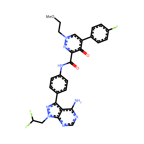 COCCn1cc(-c2ccc(F)cc2)c(=O)c(C(=O)Nc2ccc(-c3nn(CC(F)F)c4ncnc(N)c34)cc2)n1